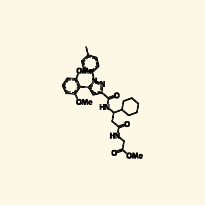 COC(=O)CNC(=O)CC(NC(=O)c1cc(-c2c(OC)cccc2OC)n(-c2ccc(C)cc2)n1)C1CCCCC1